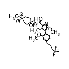 CCn1nc(C(=O)NCC2(O)CCC(S(C)(=O)=O)CC2)c(C)c1-c1ccc(CCCC(F)(F)F)cc1OC